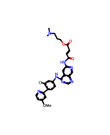 COc1ccnc(-c2ccc(Nc3ncnc4cnc(NC(=O)C=CC(=O)OCCCN(C)C)cc34)cc2Cl)c1